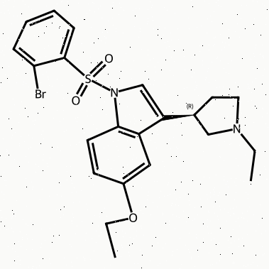 CCOc1ccc2c(c1)c([C@H]1CCN(CC)C1)cn2S(=O)(=O)c1ccccc1Br